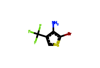 Nc1c(C(F)(F)F)csc1Br